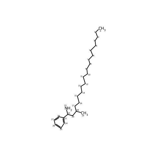 CCCCCCCCCCCCCCCCCCC(C)CC(N)c1ccccc1